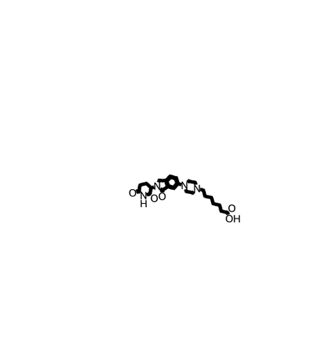 O=C(O)CCCCCCN1CCN(c2ccc3c(c2)C(=O)N(C2CCC(=O)NC2=O)C3)CC1